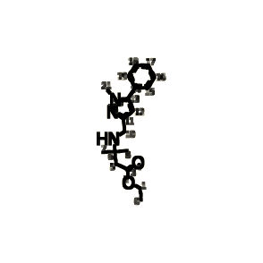 CCOC(=O)CC(C)(C)NCc1cc(-c2ccccc2)n(C)n1